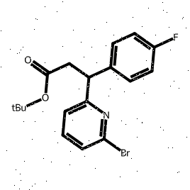 CC(C)(C)OC(=O)CC(c1ccc(F)cc1)c1cccc(Br)n1